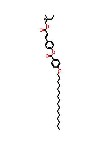 CCCCCCCCCCCCCCCCOc1ccc(C(=O)Oc2ccc(C=CC(=O)OC[C@@H](C)CC)cc2)cc1